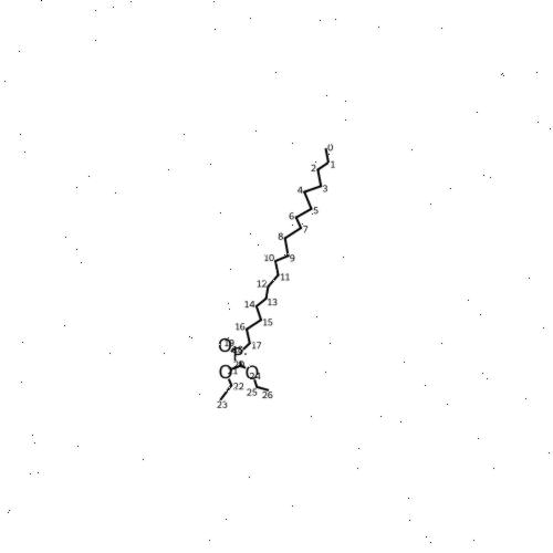 CCCCCCCCCCCCCCCCCC[P](=O)C(OCC)OCC